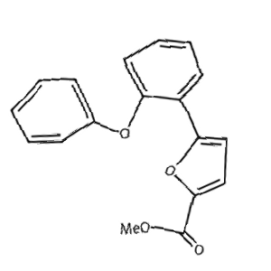 COC(=O)c1ccc(-c2ccccc2Oc2ccccc2)o1